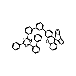 C1=CCC2Oc3cc(-c4cccc(-c5cccc(-c6nc(-c7ccccc7)nc(-c7ccccc7-c7ccccc7)n6)c5)c4)ccc3C3(C2=C1)c1ccccc1-c1ccccc13